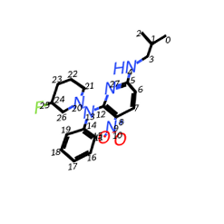 CC(C)CNc1ccc([N+](=O)[O-])c(N(c2ccccc2)N2CCCC(F)C2)n1